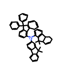 CC1(C)c2ccccc2-c2ccc(N(c3cccc4c3C3=C(C=CC=CC3)C4(c3ccccc3)c3ccccc3)c3cccc4c3C(C)(C)C3C=CCCC43)cc21